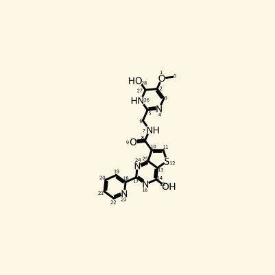 COC1=CN=C(CNC(=O)c2csc3c(O)nc(-c4ccccn4)nc23)NC1O